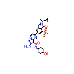 CC(C1CC1)N1Cc2cc(-c3ccn4nc(N)c(C(=O)NC5CCC(O)CC5)c4n3)cc(S(C)(=O)=O)c2C1=O